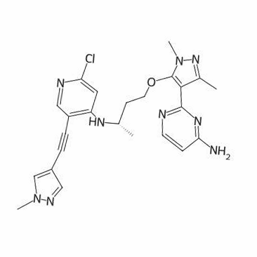 Cc1nn(C)c(OCC[C@H](C)Nc2cc(Cl)ncc2C#Cc2cnn(C)c2)c1-c1nccc(N)n1